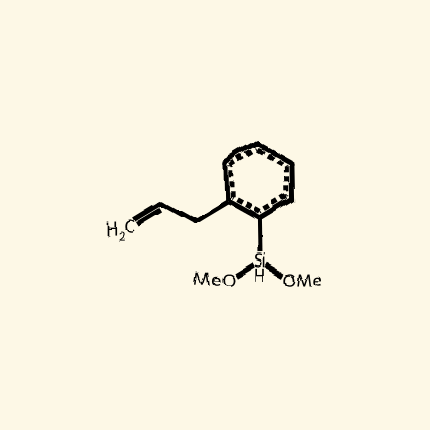 C=CCc1ccccc1[SiH](OC)OC